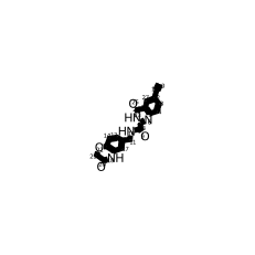 C#Cc1ccc2nc(C(=O)NCc3ccc4c(c3)NC(=O)CO4)[nH]c(=O)c2c1